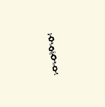 CN(C)c1ccc(N=Nc2ccc(S(=O)(=O)c3ccc(N=Nc4ccc(N(C)C)cc4)cc3)cc2)cc1